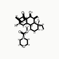 C=C1C(=O)C23CC[C@@H](CC2[C@]2(COC(=O)N4CCOCC4)CCC[C@@](C)(CC)C12)C(=C)C3=O